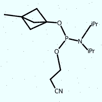 CC(C)N(C(C)C)P(OCCC#N)OC12CC(C)(C1)C2